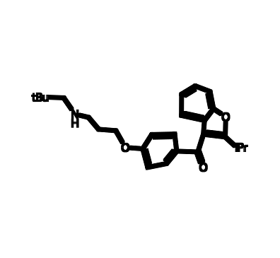 CC(C)c1oc2ccccc2c1C(=O)c1ccc(OCCCNCC(C)(C)C)cc1